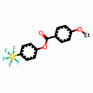 CCOc1ccc(C(=O)Oc2ccc(S(F)(F)(F)(F)F)cc2)cc1